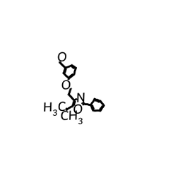 CC(C)c1oc(-c2ccccc2)nc1CCOc1cccc(C=O)c1